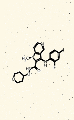 Cn1c(C(=O)NOC2CCOCC2)c(Nc2ccc(I)cc2F)c2cnccc21